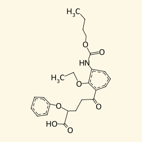 CCCCOC(=O)Nc1cccc(C(=O)CCC(Oc2ccccc2)C(=O)O)c1OCC